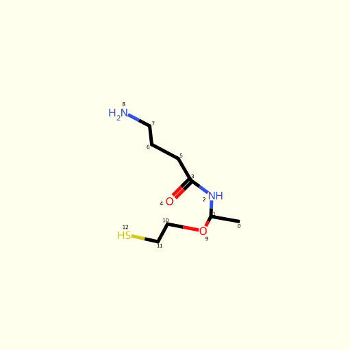 CC(NC(=O)CCCN)OCCS